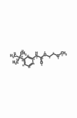 COCCOC(=O)Nc1cccc(C(C)(C)C)c1